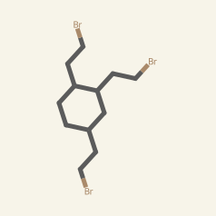 BrCCC1CCC(CCBr)C(CCBr)C1